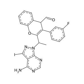 CC(C1=C(c2cccc(F)c2)C(C=O)c2ccccc2O1)n1nc(I)c2c(N)ncnc21